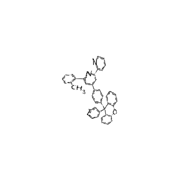 Cc1ccccc1-c1cc(-c2ccc(C3(c4ccccc4)c4ccccc4Oc4ccccc43)cc2)cc(-c2ccccn2)n1